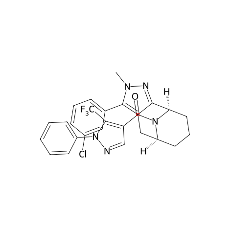 Cn1nc2c(c1-c1cccc(Cl)c1)C[C@@H]1CCC[C@H]2N1C(=O)c1cnn(-c2ccccc2)c1C(F)(F)F